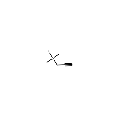 CS(C)(F)CC#N